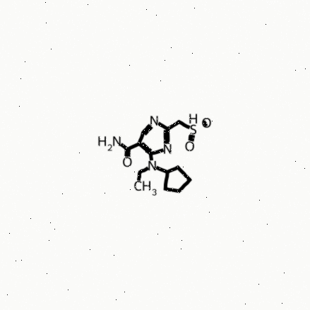 CCN(c1nc(C[SH](=O)=O)ncc1C(N)=O)C1CCCC1